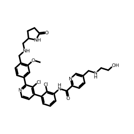 COc1cc(-c2nccc(-c3cccc(NC(=O)c4ccc(CNCCO)cn4)c3Cl)c2Cl)ccc1CNCC1CCC(=O)N1